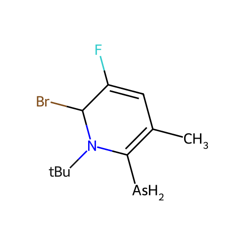 CC1=C([AsH2])N(C(C)(C)C)C(Br)C(F)=C1